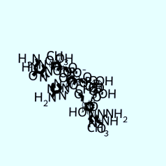 COCC[C@H]1[C@@H](O)[C@H](n2c[n+](C)c3c(=O)[nH]c(N)nc32)O[C@@H]1COP(=O)(O)OP(=O)(O)OP(=O)(O)OC[C@H]1O[C@@H](n2cnc3c(N)ncnc32)[C@H](OC)[C@@H]1P(=O)([O-])OC[C@H]1O[C@@H](n2cnc3c(=O)[nH]c(N)nc32)[C@H](OC)[C@@H]1O